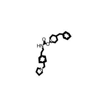 O=C(NCCc1ccc(CN2CCCC2)cc1)ON1CCC(Cc2ccccc2)CC1